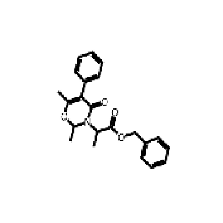 CC1=C(c2ccccc2)C(=O)N(C(C)C(=O)OCc2ccccc2)C(C)O1